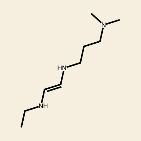 CCN/C=C/NCCCN(C)C